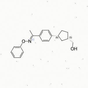 C/C(=N\Oc1ccccc1)c1ccc([C@@H]2CC[C@H](CO)C2)cc1